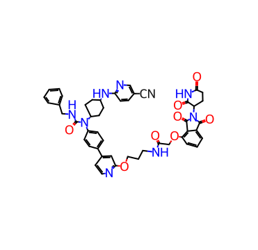 N#Cc1ccc(N[C@H]2CC[C@H](N(C(=O)NCc3ccccc3)c3ccc(-c4ccnc(OCCCNC(=O)COc5cccc6c5C(=O)N(C5CCC(=O)NC5=O)C6=O)c4)cc3)CC2)nc1